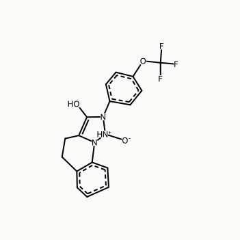 [O-][NH+]1N(c2ccc(OC(F)(F)F)cc2)C(O)=C2CCc3ccccc3N21